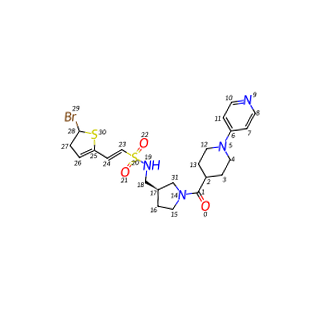 O=C(C1CCN(c2ccncc2)CC1)N1CC[C@@H](CNS(=O)(=O)/C=C/C2=CCC(Br)S2)C1